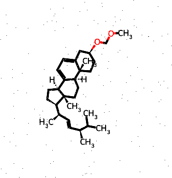 COCO[C@H]1CC[C@@]2(C)C(=CC=C3[C@@H]4CC[C@H]([C@H](C)C=C[C@H](C)C(C)C)[C@@]4(C)CC[C@@H]32)C1